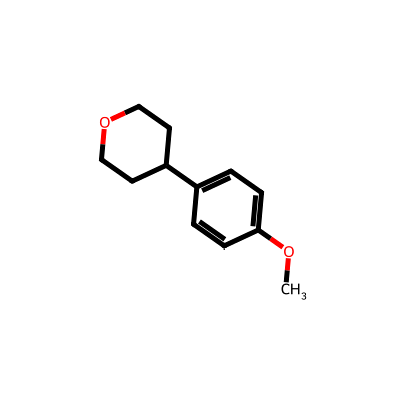 COc1[c]cc(C2CCOCC2)cc1